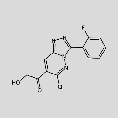 O=C(CO)c1cc2nnc(-c3ccccc3F)n2nc1Cl